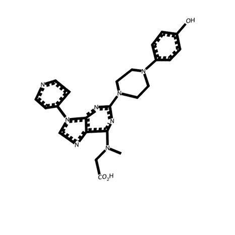 CN(CC(=O)O)c1nc(N2CCN(c3ccc(O)cc3)CC2)nc2c1ncn2-c1ccncc1